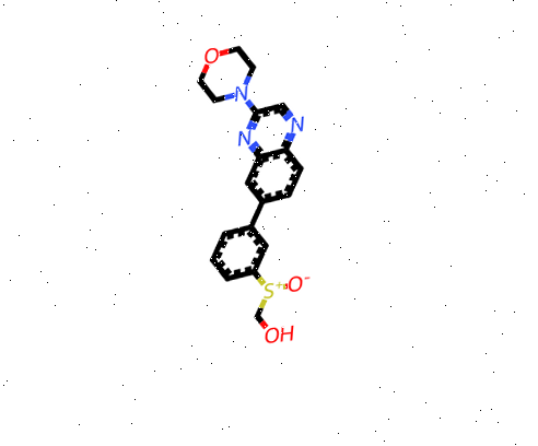 [O-][S+](CO)c1cccc(-c2ccc3ncc(N4CCOCC4)nc3c2)c1